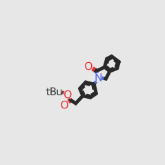 CC(C)(C)OC(=O)Cc1ccc(N2Cc3ccccc3C2=O)cc1